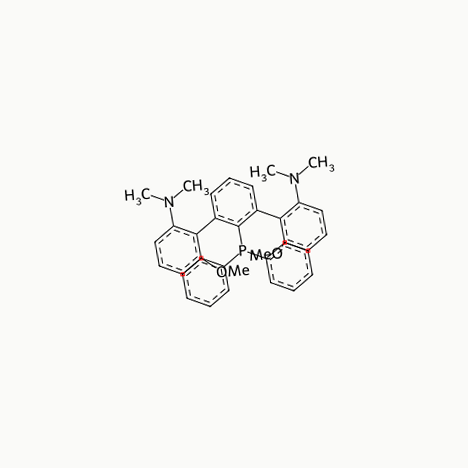 COc1cccc(N(C)C)c1-c1cccc(-c2c(OC)cccc2N(C)C)c1P(c1ccccc1)c1ccccc1